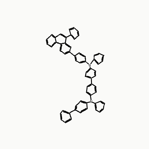 c1ccc(-c2ccc(N(c3ccccc3)c3ccc(-c4ccc(N(c5ccccc5)c5ccc(-c6ccc7c(c6)c(-c6ccccc6)cc6ccccc67)cc5)cc4)cc3)cc2)cc1